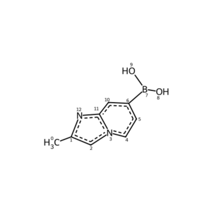 Cc1cn2ccc(B(O)O)cc2n1